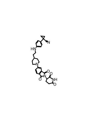 N#CC1(c2ccc(NCCC3CCN(c4ccc5c(c4)C(=O)N(C4CCC(=O)NC4=O)C5=O)CC3)cc2)CC1